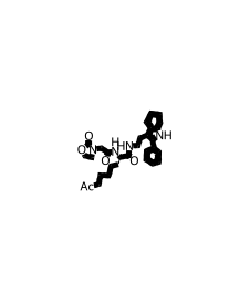 CC(=O)CCCCC[C@H](NC(=O)CN1CCOC1=O)C(=O)NCCc1c(-c2ccccc2)[nH]c2ccccc12